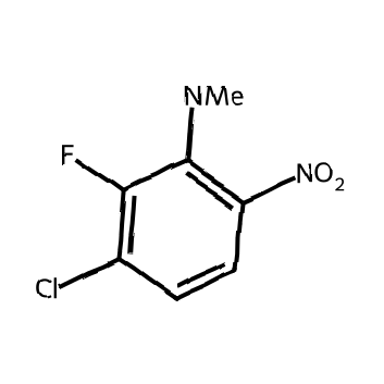 CNc1c([N+](=O)[O-])ccc(Cl)c1F